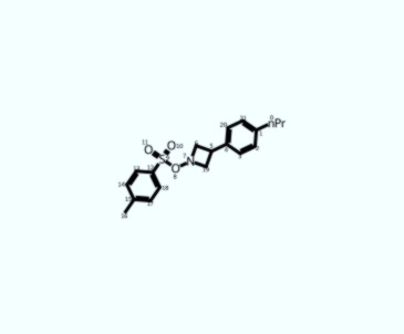 CCCc1ccc(C2CN(OS(=O)(=O)c3ccc(C)cc3)C2)cc1